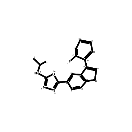 CC(C)Nc1nnc(-c2ccc3c(c2)C(c2ccccc2F)=CC3)o1